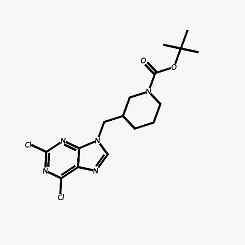 CC(C)(C)OC(=O)N1CCCC(Cn2cnc3c(Cl)nc(Cl)nc32)C1